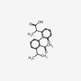 CC(=O)c1c(C(C)C)cccc1-n1c(C(C)C(=O)O)cccc1=O